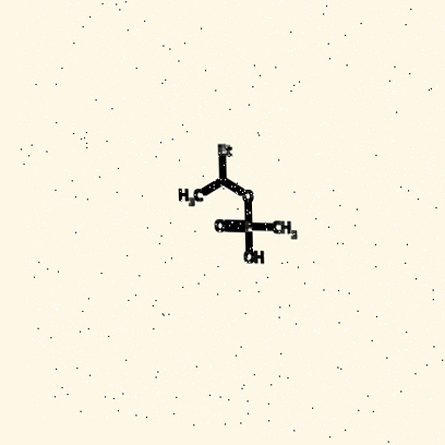 CCC(C)OP(C)(=O)O